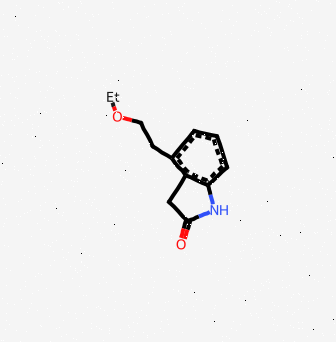 CCOCCc1cccc2c1CC(=O)N2